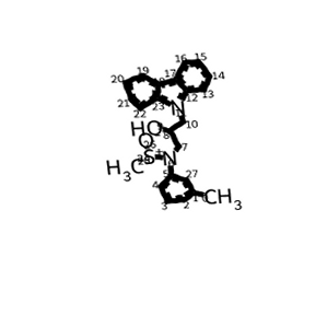 Cc1cccc(N(CC(O)Cn2c3ccccc3c3ccccc32)[S+](C)[O-])c1